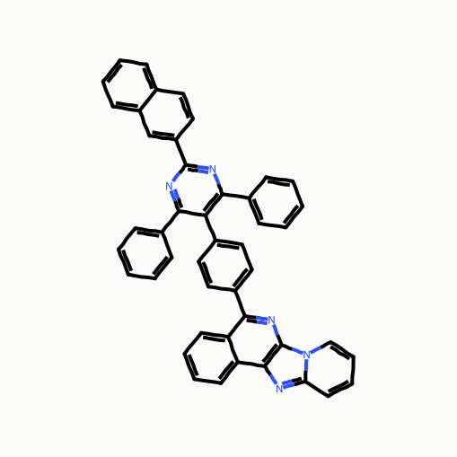 c1ccc(-c2nc(-c3ccc4ccccc4c3)nc(-c3ccccc3)c2-c2ccc(-c3nc4c(nc5ccccn54)c4ccccc34)cc2)cc1